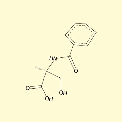 C[C@@](CO)(NC(=O)c1ccccc1)C(=O)O